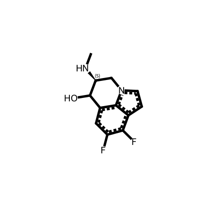 CN[C@H]1Cn2ccc3c(F)c(F)cc(c32)C1O